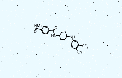 CNC(=O)c1ccc(C(=O)NC2CCC(Nc3ccc(C#N)c(C(F)(F)F)c3)CC2)cc1